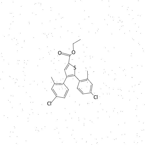 CCOC(=O)c1cc(-c2ccc(Cl)cc2C)c(-c2ccc(Cl)cc2C)s1